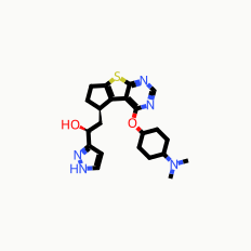 CN(C)C1CCC(Oc2ncnc3sc4c(c23)[C@@H](C[C@H](O)c2cc[nH]n2)CC4)CC1